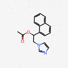 CC(=O)OC(Cn1ccnc1)c1cccc2ccccc12